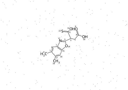 Cc1cc2nc(C(CC(=O)O)C(O)=S)oc2cc1C